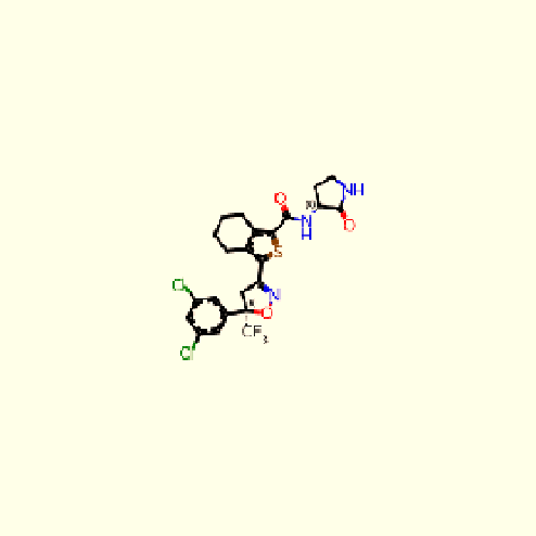 O=C(N[C@@H]1CCNC1=O)c1sc(C2=NO[C@](c3cc(Cl)cc(Cl)c3)(C(F)(F)F)C2)c2c1CCCC2